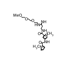 COCCOCCOCCNC(=N)CCNC(=O)c1cc(NC(=O)c2cccn2C)cn1C